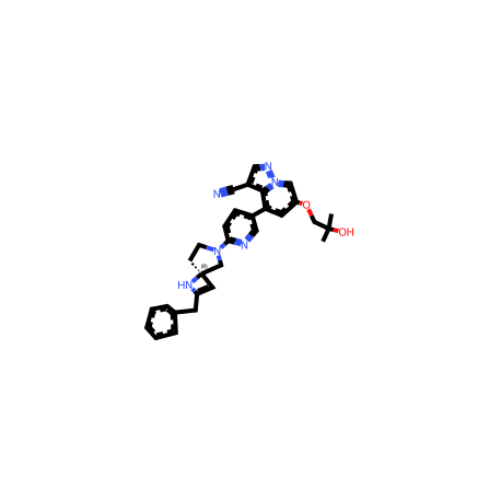 CC(C)(O)COc1cc(-c2ccc(N3CC[C@@]4(C=C(Cc5ccccc5)N4)C3)nc2)c2c(C#N)cnn2c1